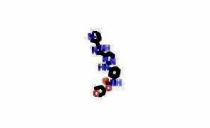 O=C(Nc1cccc(Nc2nccc(-c3cnc(-c4cccnc4)[nH]3)n2)c1)OC1CCOCC1